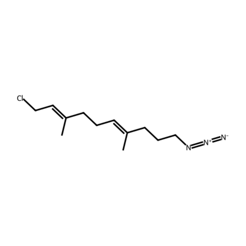 C/C(=C\CCl)CC/C=C(\C)CCCN=[N+]=[N-]